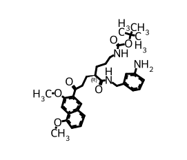 COc1cc2c(OC)cccc2cc1C(=O)CC[C@@H](CCCNC(=O)OC(C)(C)C)C(=O)NCc1cccc(N)c1